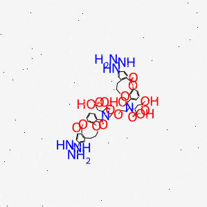 N=C(N)Nc1ccc2c(c1)CCCOc1c(cccc1C(=O)N(CCOCCN(C(=O)c1cccc3c1OCCCc1cc(NC(=N)N)ccc1C(=O)O3)C(CC(=O)O)C(=O)O)C(CC(=O)O)C(=O)O)OC2=O